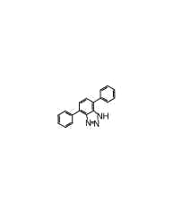 c1ccc(-c2ccc(-c3ccccc3)c3[nH]nnc23)cc1